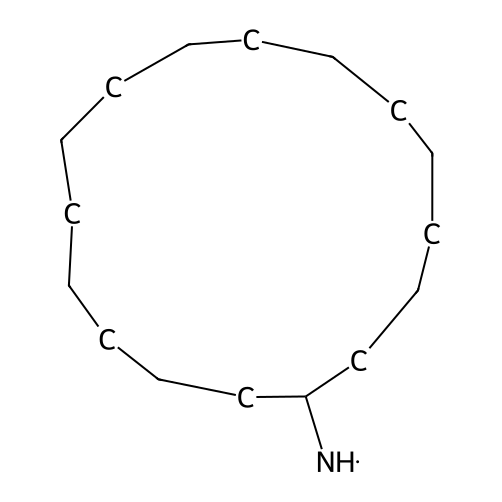 [NH]C1CCCCCCCCCCCCCCC1